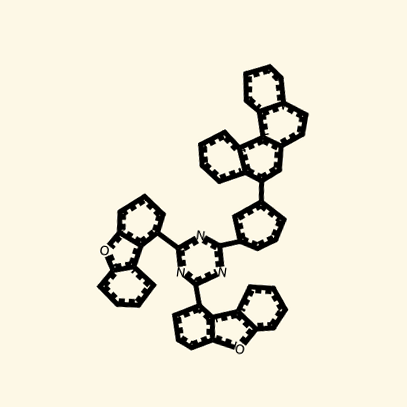 c1cc(-c2nc(-c3cccc4oc5ccccc5c34)nc(-c3cccc4oc5ccccc5c34)n2)cc(-c2cc3ccc4ccccc4c3c3ccccc23)c1